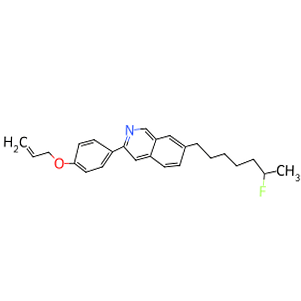 C=CCOc1ccc(-c2cc3ccc(CCCCCC(C)F)cc3cn2)cc1